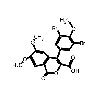 COc1cc2c(-c3cc(Br)c(OC)c(Br)c3)c(C(=O)O)oc(=O)c2cc1OC